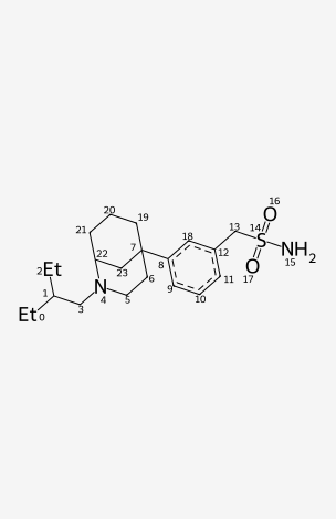 CCC(CC)CN1CCC2(c3cccc(CS(N)(=O)=O)c3)CCCC1C2